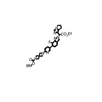 CCOC(=O)C(c1ncn2c1CCC2)n1cc2ccc(-c3ccc(N4CC5(CN(C(=O)OC(C)(C)C)C5)C4)nc3)c(F)c2n1